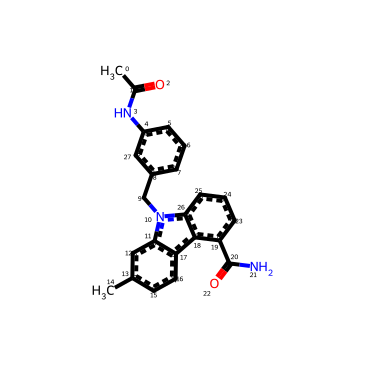 CC(=O)Nc1cccc(Cn2c3cc(C)c[c]c3c3c(C(N)=O)cccc32)c1